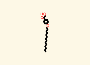 CCCCCCCCCCCCCCOc1ccc(C(=O)CO)cc1